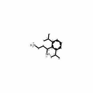 CC(C)c1cccc(C(C)C)c1C(N)CCN